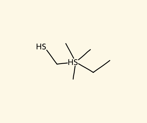 CC[SH](C)(C)(C)CS